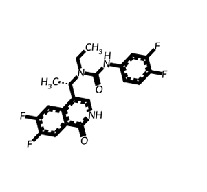 CCN(C(=O)Nc1ccc(F)c(F)c1)[C@@H](C)c1c[nH]c(=O)c2cc(F)c(F)cc12